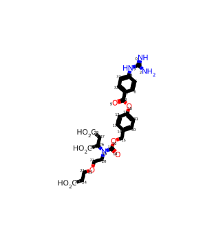 N=C(N)Nc1ccc(C(=O)Oc2ccc(COC(=O)N(CCOCCC(=O)O)C(CC(=O)O)C(=O)O)cc2)cc1